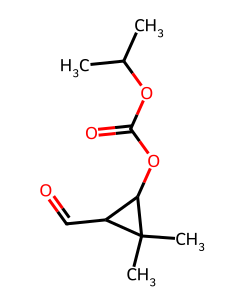 CC(C)OC(=O)OC1C(C=O)C1(C)C